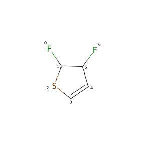 F[C]1SC=CC1F